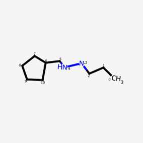 CCC[N]NCC1CCCC1